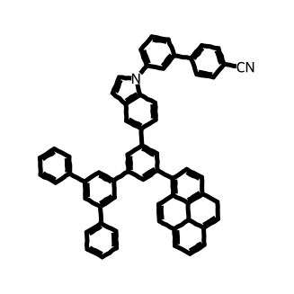 N#Cc1ccc(-c2cccc(-n3ccc4cc(-c5cc(-c6cc(-c7ccccc7)cc(-c7ccccc7)c6)cc(-c6ccc7c8c6C=CC6=CC=CC(=CC7)C68)c5)ccc43)c2)cc1